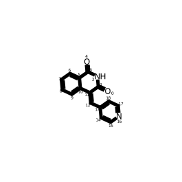 O=C1NC(=O)c2ccccc2C1=Cc1ccncc1